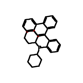 c1ccc(P(C2CCCCC2)C2CCCCC2)c(-c2cc3ccccc3c3ccccc23)c1